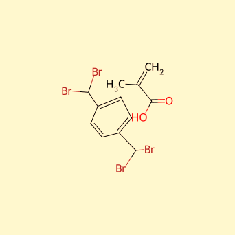 BrC(Br)c1ccc(C(Br)Br)cc1.C=C(C)C(=O)O